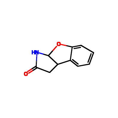 O=C1CC2c3ccccc3OC2N1